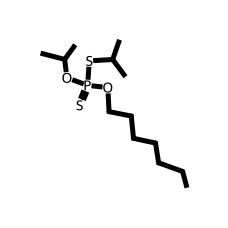 CCCCCCCOP(=S)(OC(C)C)SC(C)C